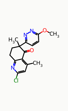 COc1ccc(C2(C)CCc3nc(Cl)cc(C)c3C2=O)nn1